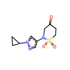 O=C1CCS(=O)(=O)N(c2cnn(C3CC3)c2)C1